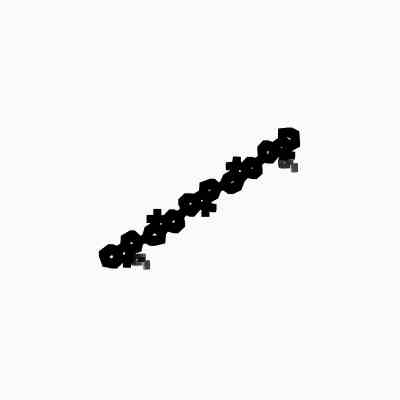 CC1(C)c2cc(-c3ccc4c(c3)C(C)(C)c3cc(-c5ccc6c(c5)C(C)(C(F)(F)F)c5ccccc5-6)ccc3-4)ccc2-c2ccc(-c3ccc4c(c3)C(C)(C)c3cc(-c5ccc6c(c5)C(C)(C(F)(F)F)c5ccccc5-6)ccc3-4)cc21